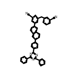 N#Cc1cccc(Cc2cc(C#N)cc(-c3ccc4cc(-c5ccc(-c6nc(-c7ccccc7)nc(-c7ccccc7)n6)cc5)ccc4c3)c2)c1